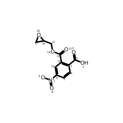 O=C(O)c1ccc([N+](=O)[O-])cc1C(=O)OCC1CO1